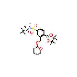 CC1(C)OB(c2ccc(S(=O)(=O)N[Si](C)(C)C(C)(C)C)cc2COC2CCCCO2)OC1(C)C